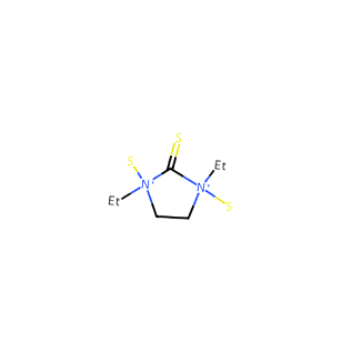 CC[N+]1([S-])CC[N+]([S-])(CC)C1=S